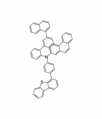 c1cc(-c2ccccc2N(c2ccc(-c3cccc4c3sc3ccccc34)cc2)c2ccc3c(ccc4ccccc43)c2)cc(-c2cccc3ccccc23)c1